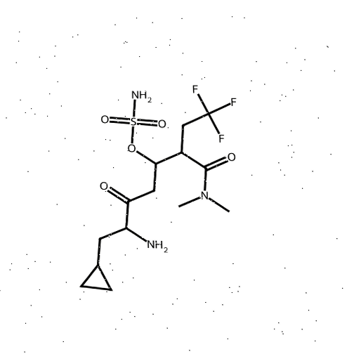 CN(C)C(=O)C(CC(F)(F)F)C(CC(=O)C(N)CC1CC1)OS(N)(=O)=O